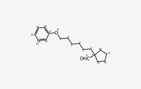 O=CC1(CCCCCCOc2cccnc2)CCCC1